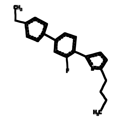 CCCCc1ccc(-c2ccc(-c3ccc(CC)cc3)cc2F)s1